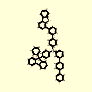 c1ccc(-c2ccc(-c3cccc(N(c4ccc(-c5cccc(-c6cccc7c6sc6ccccc67)c5)cc4)c4ccc(C5(c6ccccc6)c6ccccc6-c6ccccc65)cc4)c3)cc2)cc1